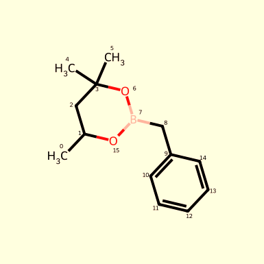 CC1CC(C)(C)OB(Cc2ccccc2)O1